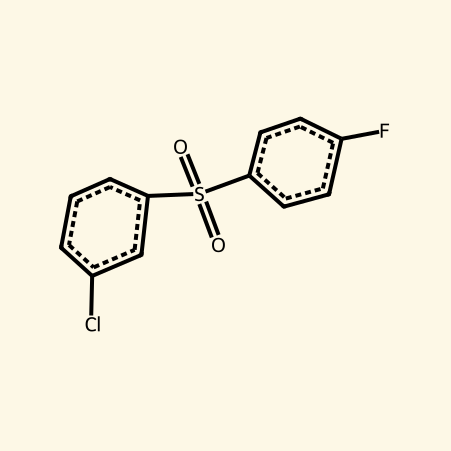 O=S(=O)(c1ccc(F)cc1)c1cccc(Cl)c1